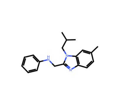 Cc1ccc2nc(CNc3ccccc3)n(CC(C)C)c2c1